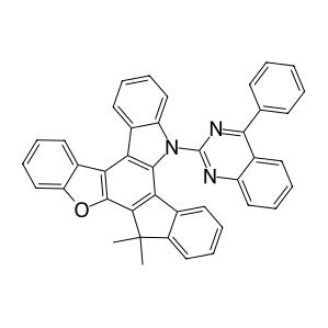 CC1(C)c2ccccc2-c2c1c1oc3ccccc3c1c1c3ccccc3n(-c3nc(-c4ccccc4)c4ccccc4n3)c21